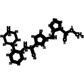 COC(=O)c1cscc1Nc1nc(C(=O)Nc2ccccc2N2CCNCC2)cs1